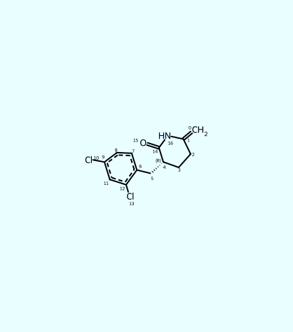 C=C1CC[C@H](Cc2ccc(Cl)cc2Cl)C(=O)N1